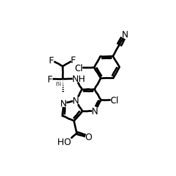 C[C@@](F)(Nc1c(-c2ccc(C#N)cc2Cl)c(Cl)nc2c(C(=O)O)cnn12)C(F)F